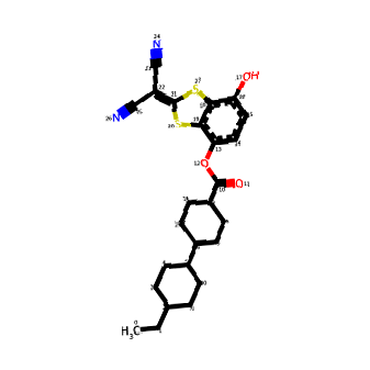 CCC1CCC(C2CCC(C(=O)Oc3ccc(O)c4c3SC(=C(C#N)C#N)S4)CC2)CC1